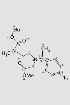 COC(=O)CN(CCN(C)C(=O)OC(C)(C)C)[C@@H](C)c1ccc(I)cc1